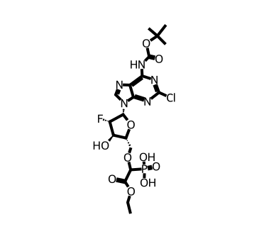 CCOC(=O)C(OC[C@H]1O[C@@H](n2cnc3c(NC(=O)OC(C)(C)C)nc(Cl)nc32)[C@@H](F)[C@@H]1O)P(=O)(O)O